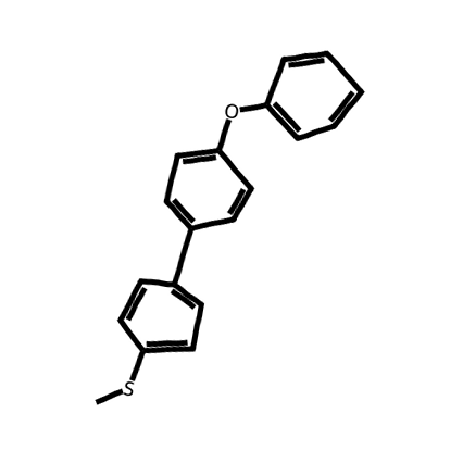 CSc1ccc(-c2ccc(Oc3ccccc3)cc2)cc1